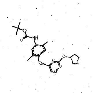 Cc1cc(Oc2ccnc(OC3CCCC3)n2)c(C)cc1NC(=O)OC(C)(C)C